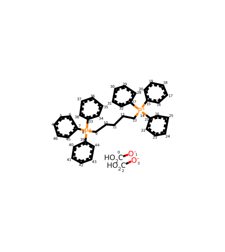 O=C([O-])O.O=C([O-])O.c1ccc([P+](CCCCC[P+](c2ccccc2)(c2ccccc2)c2ccccc2)(c2ccccc2)c2ccccc2)cc1